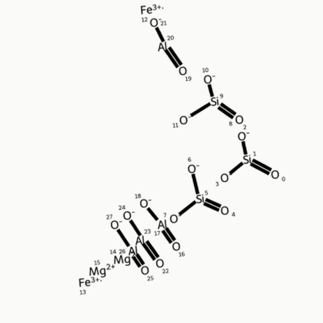 O=[Si]([O-])[O-].O=[Si]([O-])[O-].O=[Si]([O-])[O-].[Fe+3].[Fe+3].[Mg+2].[Mg+2].[O]=[Al][O-].[O]=[Al][O-].[O]=[Al][O-].[O]=[Al][O-]